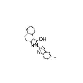 Cc1ccc2nc(-n3nc4c(c3O)-c3ccccc3CC4)sc2c1